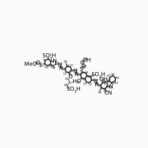 COOSc1cc(S(=O)(=O)O)c2nc(N=Nc3cc(OCCCS(=O)(=O)O)c(N=Nc4c(SOOO)cc5c(S(=O)(=O)O)c(N=Nc6c(C)c(C#N)c7nc8ccccc8n7c6O)ccc5c4O)cc3C)sc2c1